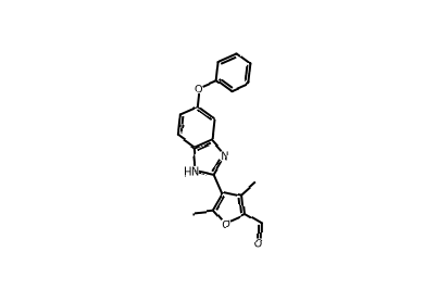 Cc1oc(C=O)c(C)c1-c1nc2cc(Oc3ccccc3)ccc2[nH]1